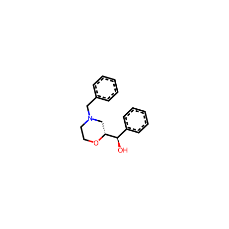 O[C@H](c1ccccc1)[C@H]1CN(Cc2ccccc2)CCO1